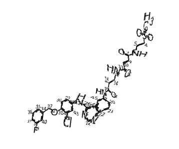 CS(=O)(=O)CCNC(=O)C=CC(=O)NCCC(=O)Nc1ccc2ncnc(Nc3ccc(OCc4cccc(F)c4)c(Cl)c3)c2c1